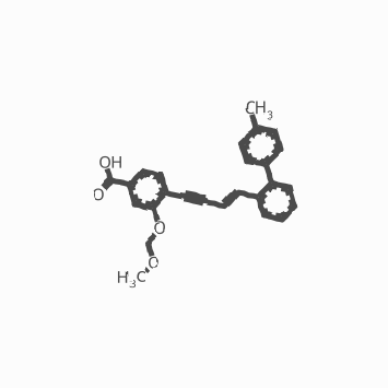 COCOc1cc(C(=O)O)ccc1C#C/C=C/c1ccccc1-c1ccc(C)cc1